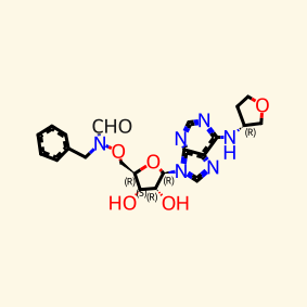 O=CN(Cc1ccccc1)OC[C@H]1O[C@@H](n2cnc3c(N[C@@H]4CCOC4)ncnc32)[C@H](O)[C@@H]1O